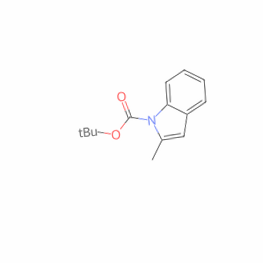 Cc1cc2ccccc2n1C(=O)OC(C)(C)C